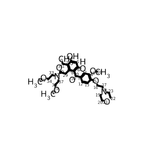 CCc1c(O)cc(O)c(C(=O)c2ccc(OCCN3CCOCC3)c(OC)c2)c1CC(=O)N(CCOC)CCOC